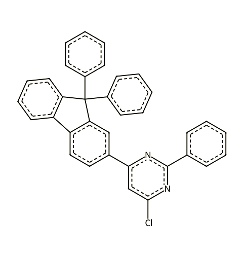 Clc1cc(-c2ccc3c(c2)C(c2ccccc2)(c2ccccc2)c2ccccc2-3)nc(-c2ccccc2)n1